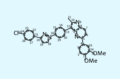 COc1ccc(-c2ccc3nc(C)c(-c4ccc(-n5ccc(-c6ccc(Cl)cc6)n5)cc4)n3n2)cc1OC